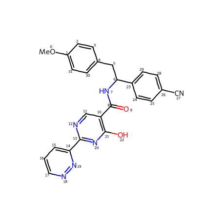 COc1ccc(CC(NC(=O)c2cnc(-c3cccnn3)nc2O)c2ccc(C#N)cc2)cc1